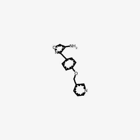 Nc1conc1-c1ccc(OCc2cccnc2)cc1